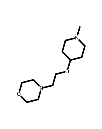 CN1CCC(OCCN2CCOCC2)CC1